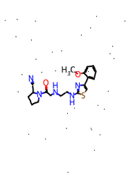 COc1ccccc1-c1csc(NCCNCC(=O)N2CCCC2C#N)n1